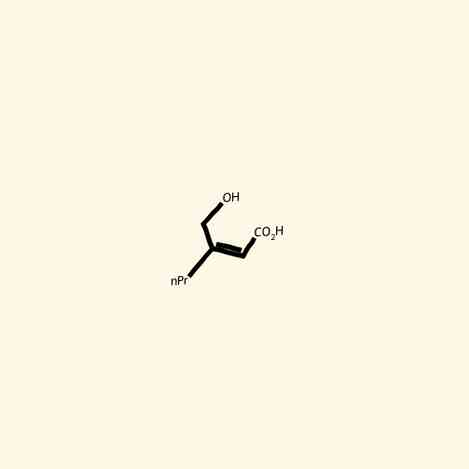 CCCC(=CC(=O)O)CO